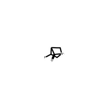 O=C1C2C[N+]1CC2F